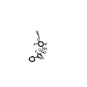 N#CCOc1cc(F)c(NS(=O)(=O)c2c[nH]c(-c3ccccc3)c2F)cc1F